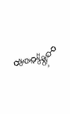 O=C(Nc1ccc(N2CCN(c3nc4ccccc4o3)CC2)nc1)c1oc(N2CCC(c3ccccc3)CC2)nc1C(F)(F)F